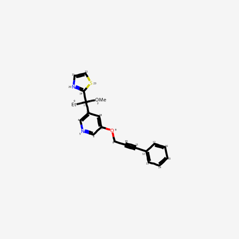 CCC(OC)(c1cncc(OCC#Cc2ccccc2)c1)c1nccs1